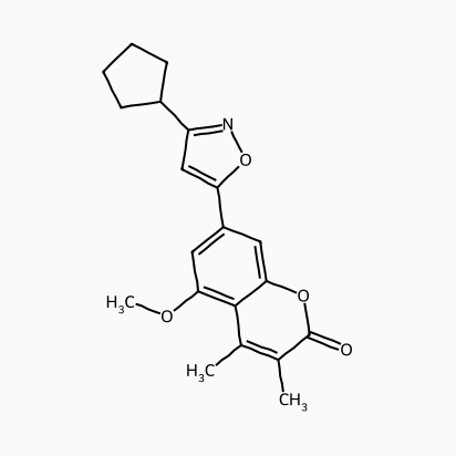 COc1cc(-c2cc(C3CCCC3)no2)cc2oc(=O)c(C)c(C)c12